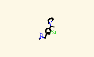 CNCc1ccc(C(C)N2CCCC2)cc1.Cl